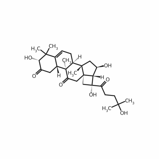 CC(C)(O)CCC(=O)[C@@]1(O)C[C@]23CC(=O)[C@@]4(C)[C@@H]5CC(=O)[C@H](O)C(C)(C)C5=CC[C@H]4[C@]2(C)C[C@@H](O)[C@@H]31